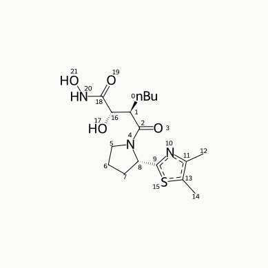 CCCC[C@@H](C(=O)N1CCC[C@H]1c1nc(C)c(C)s1)[C@H](O)C(=O)NO